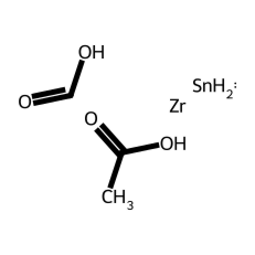 CC(=O)O.O=CO.[SnH2].[Zr]